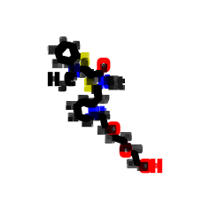 CCn1c(=O)/c(=C2\Sc3ccccc3N2C)s/c1=C\c1cccc[n+]1CCOCCOCCO